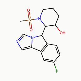 CS(=O)(=O)N1CCCC(O)C1C1c2ccc(F)cc2-c2cncn21